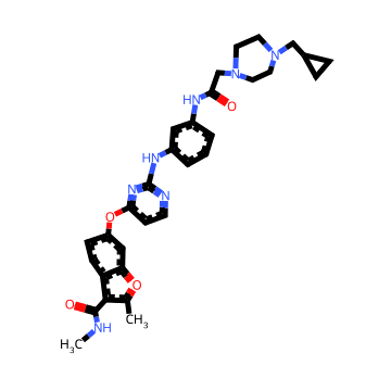 CNC(=O)c1c(C)oc2cc(Oc3ccnc(Nc4cccc(NC(=O)CN5CCN(CC6CC6)CC5)c4)n3)ccc12